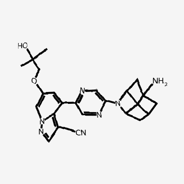 CC(C)(O)COc1cc(-c2cnc(N3C4CC5CC6(N)CC3C546)cn2)c2c(C#N)cnn2c1